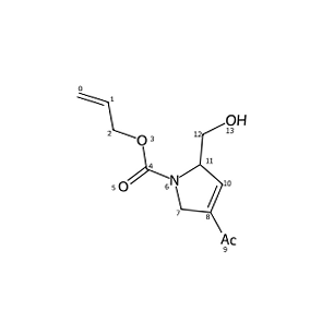 C=CCOC(=O)N1CC(C(C)=O)=CC1CO